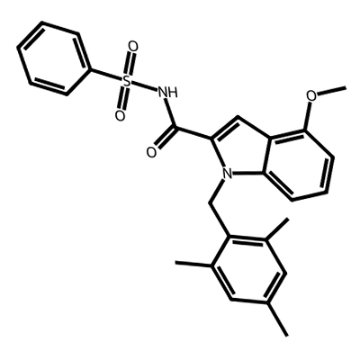 COc1cccc2c1cc(C(=O)NS(=O)(=O)c1ccccc1)n2Cc1c(C)cc(C)cc1C